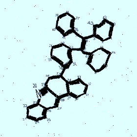 c1ccc(C(=C(c2ccccc2)c2cccc(-c3cc4nc5ccccc5cc4c4ccccc34)c2)c2ccccc2)cc1